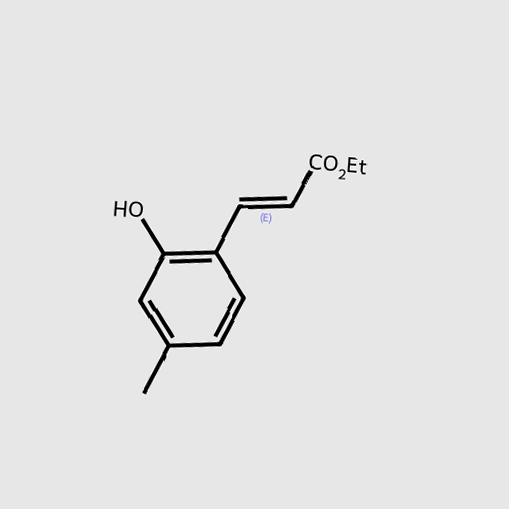 CCOC(=O)/C=C/c1ccc(C)cc1O